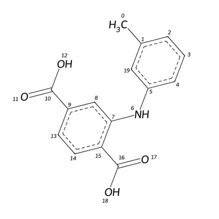 Cc1cccc(Nc2cc(C(=O)O)ccc2C(=O)O)c1